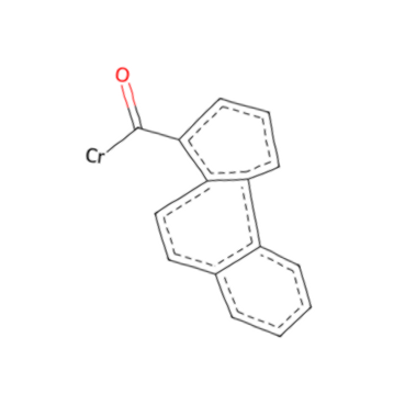 O=[C]([Cr])c1cccc2c1ccc1ccccc12